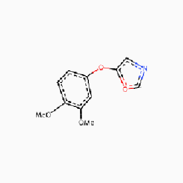 COc1ccc(Oc2cn[c]o2)cc1OC